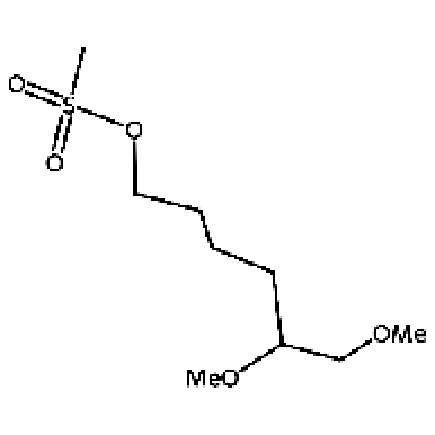 COCC(CCCCOS(C)(=O)=O)OC